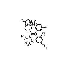 CCc1cc([C@@H](C)N(C)C(=O)N2CCN3C(=O)CC[C@H]3C2c2ccc(F)cc2C)cc(C(F)(F)F)c1